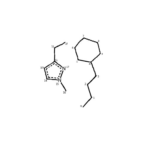 CCCCC1CCCCC1.CCc1ccn(C)n1